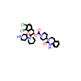 O=C(O[C@H](Cc1ccc(Cl)c(Cl)c1)C(=O)[N+]1(C2CCNCC2)CCCCC1)N1CCC(N2CCc3ccccc3NC2=O)CC1